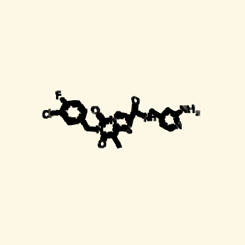 Cc1c(=O)n(Cc2ccc(F)c(Cl)c2)c(=O)n2cc(C(=O)NCc3ccnc(N)c3)sc12